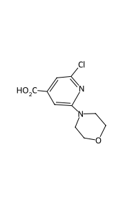 O=C(O)c1cc(Cl)nc(N2CCOCC2)c1